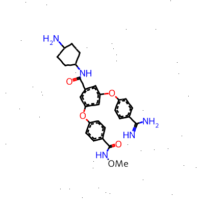 CONC(=O)c1ccc(Oc2cc(Oc3ccc(C(=N)N)cc3)cc(C(=O)NC3CCC(N)CC3)c2)cc1